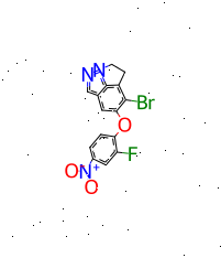 O=[N+]([O-])c1ccc(Oc2cc3cnn4c3c(c2Br)CC4)c(F)c1